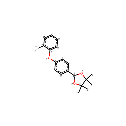 CC1(C)OB(c2ccc(Oc3ccccc3C(F)(F)F)cc2)OC1(C)C